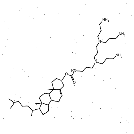 CC(C)CCCC(C)C1CCC2C3CC=C4CC(OC(=O)NCCCN(CCCN)CCCN(CCCN)CCCN)CCC4(C)C3CCC12C